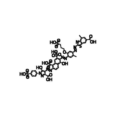 Cc1cc(N=Nc2c(S(=O)(=O)O)cc3c(S(=O)(=O)O)c(N=Nc4c(C(=O)O)nn(-c5ccc(S(=O)(=O)O)cc5)c4O)ccc3c2O)c(OCCCS(=O)(=O)O)cc1N=Nc1nc2c(C)cc(C(=O)O)cc2s1